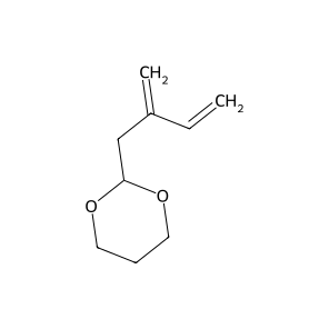 C=CC(=C)CC1OCCCO1